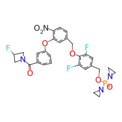 O=C(c1cccc(Oc2cc(COc3c(F)cc(COP(=O)(N4CC4)N4CC4)cc3F)ccc2[N+](=O)[O-])c1)N1CC(F)C1